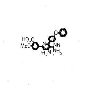 COC1=C(C(=O)O)C=C(c2cc(N)c(C(=N)N)c(-c3ccc(Oc4ccccc4)cc3)n2)CC1